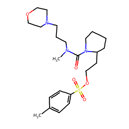 Cc1ccc(S(=O)(=O)OCCC2CCCCN2C(=O)N(C)CCCN2CCOCC2)cc1